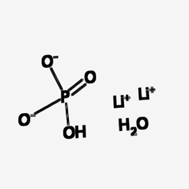 O.O=P([O-])([O-])O.[Li+].[Li+]